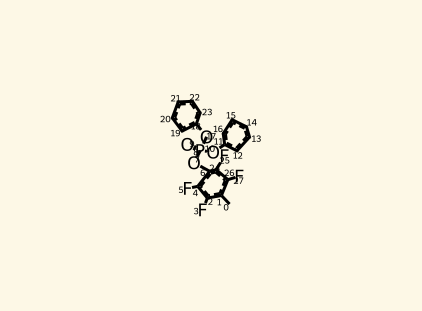 Cc1c(F)c(F)c(OP(=O)(Oc2ccccc2)Oc2ccccc2)c(F)c1F